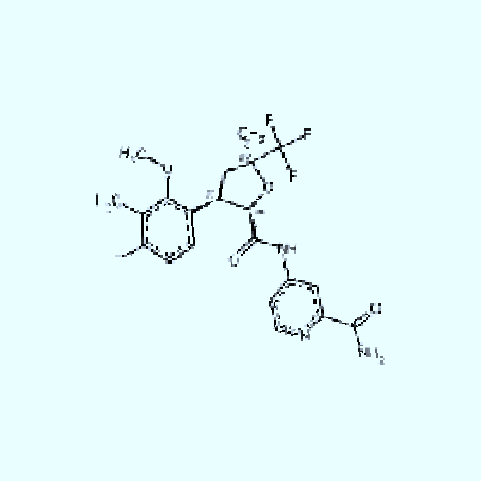 COc1c([C@H]2C[C@@](C)(C(F)(F)F)O[C@H]2C(=O)Nc2ccnc(C(N)=O)c2)ccc(F)c1C